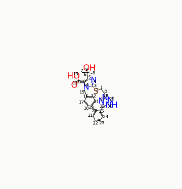 CCSc1nc(C(C)(C)O)c(C(=O)O)n1Cc1ccc(-c2ccccc2-c2nnn[nH]2)cc1